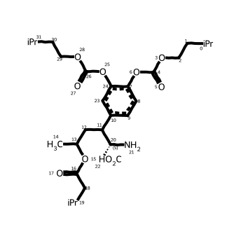 CC(C)CCOC(=O)Oc1ccc(C(CC(C)OC(=O)CC(C)C)[C@H](N)C(=O)O)cc1OC(=O)OCCC(C)C